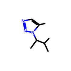 Cc1cnnn1C(C)C(C)C